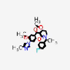 COc1cc(C(OC(C)=O)C2CCCN([C@@H](C)c3ccc(F)cc3)C2=O)ccc1-n1cnc(C)c1